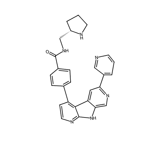 O=C(NC[C@@H]1CCCN1)c1ccc(-c2ccnc3[nH]c4cnc(-c5cccnc5)cc4c23)cc1